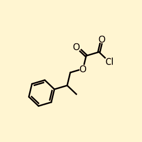 CC(COC(=O)C(=O)Cl)c1ccccc1